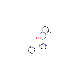 Cc1cccc(C)c1CC(O)c1nccn1Cc1ccccc1